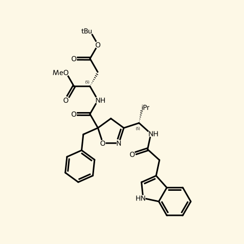 COC(=O)[C@H](CC(=O)OC(C)(C)C)NC(=O)C1(Cc2ccccc2)CC([C@@H](NC(=O)Cc2c[nH]c3ccccc23)C(C)C)=NO1